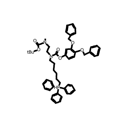 CN(CCN(CCCCCC[PH](c1ccccc1)(c1ccccc1)c1ccccc1)C(=O)Oc1ccc(OCc2ccccc2)c(OCc2ccccc2)c1)C(=O)OC(C)(C)C